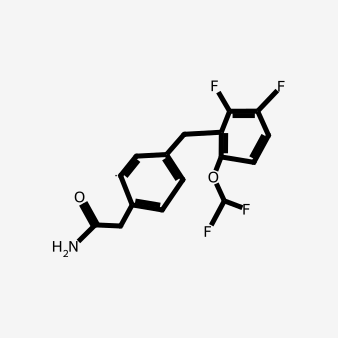 NC(=O)Cc1[c]cc(Cc2c(OC(F)F)ccc(F)c2F)cc1